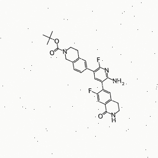 CC(C)(C)OC(=O)N1CCc2cc(-c3cc(-c4cc5c(cc4F)C(=O)NCC5)c(N)nc3F)ccc2C1